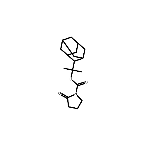 CC(C)(OC(=O)N1CCCC1=O)C1C2CC3CC(C2)CC1C3